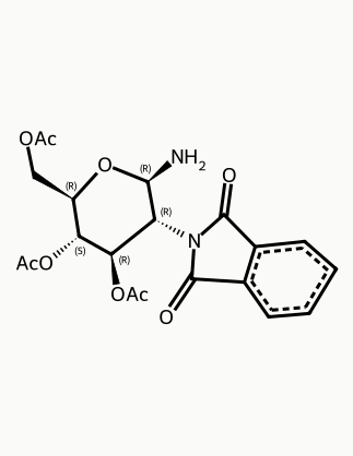 CC(=O)OC[C@H]1O[C@@H](N)[C@H](N2C(=O)c3ccccc3C2=O)[C@@H](OC(C)=O)[C@@H]1OC(C)=O